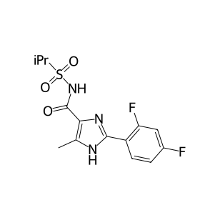 Cc1[nH]c(-c2ccc(F)cc2F)nc1C(=O)NS(=O)(=O)C(C)C